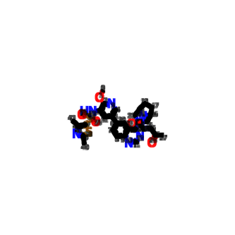 COc1ncc(-c2ccc3ncnc(N4CC5CCC(C4)N5C(=O)/C=C/C(C)=O)c3c2)cc1NS(=O)(=O)c1sc(C)nc1C